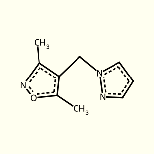 Cc1noc(C)c1Cn1cccn1